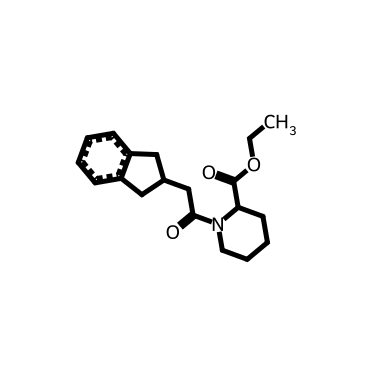 CCOC(=O)C1CCCCN1C(=O)CC1Cc2ccccc2C1